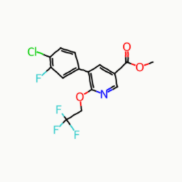 COC(=O)c1cnc(OCC(F)(F)F)c(-c2ccc(Cl)c(F)c2)c1